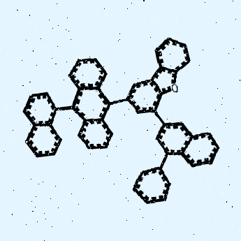 c1ccc(-c2cc(-c3cc(-c4c5ccccc5c(-c5cccc6ccccc56)c5ccccc45)cc4c3oc3ccccc34)cc3ccccc23)cc1